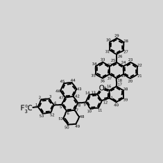 FC(F)(F)c1ccc(-c2c3c(c(-c4ccc5c(c4)oc4c(-c6c7ccccc7c(-c7ccccc7)c7ccccc67)cccc45)c4ccccc24)CCC=C3)cc1